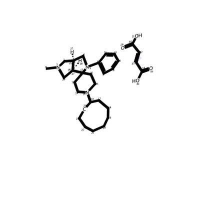 CN1C[C@H]2CN(c3ccccc3)C3(CCN(C4CCCCCCCC4)CC3)[C@H]2C1.O=C(O)/C=C/C(=O)O